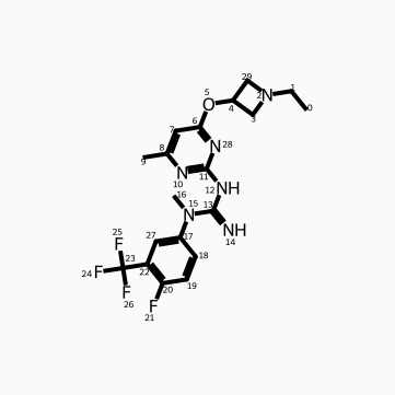 CCN1CC(Oc2cc(C)nc(NC(=N)N(C)c3ccc(F)c(C(F)(F)F)c3)n2)C1